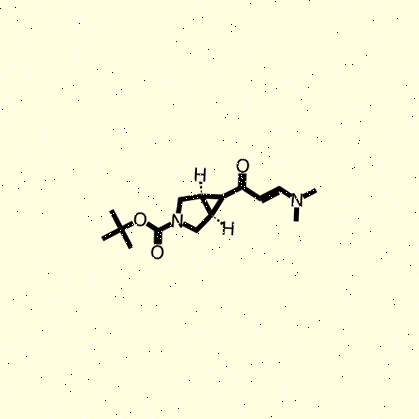 CN(C)/C=C/C(=O)C1[C@H]2CN(C(=O)OC(C)(C)C)C[C@@H]12